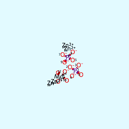 O=P([O-])([O-])[O-].O=P([O-])([O-])[O-].[O]=[Mo](=[O])([O-])[O-].[Zn+2].[Zn+2].[Zn+2].[Zn+2]